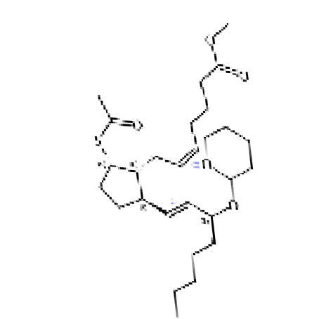 CCCCC[C@@H](/C=C/[C@H]1CC[C@H](SC(C)=O)[C@@H]1C/C=C\CCCC(=O)OC)OC1CCCCO1